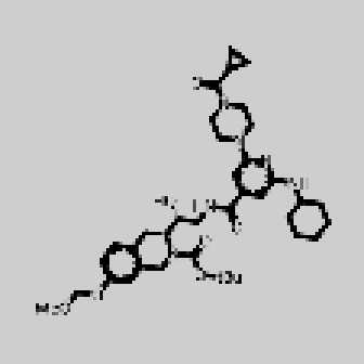 COCOc1ccc2c(c1)CN(C(=O)OC(C)(C)C)[C@H]([C@H](O)CNC(=O)c1cc(NC3CCCCC3)nc(N3CCN(C(=O)C4CC4)CC3)c1)C2